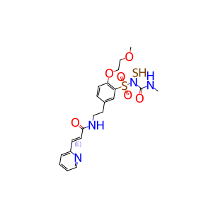 CNC(=O)N(S)S(=O)(=O)c1cc(CCNC(=O)/C=C/c2ccccn2)ccc1OCCOC